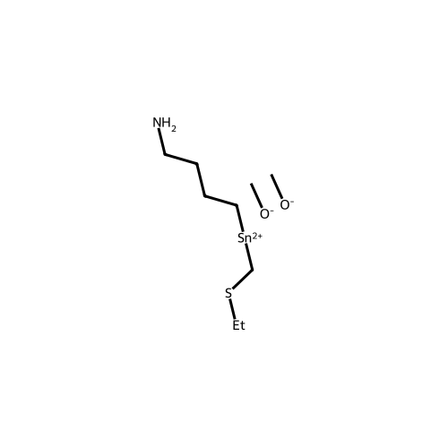 CCS[CH2][Sn+2][CH2]CCCN.C[O-].C[O-]